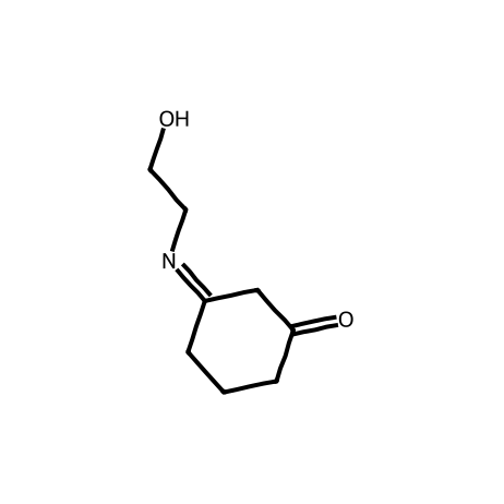 O=C1CCCC(=NCCO)C1